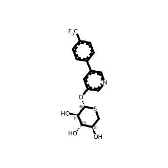 O[C@@H]1[C@@H](O)[C@H](Oc2cncc(-c3ccc(C(F)(F)F)cc3)c2)SC[C@H]1O